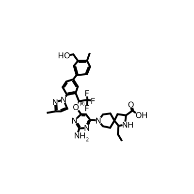 CCC1NC(C(=O)O)CC12CCN(c1cc(O[C@H](c3cc(-c4ccc(C)c(CO)c4)ccc3-n3ccc(C)n3)C(F)(F)F)nc(N)n1)CC2